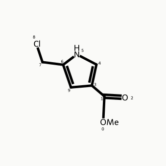 COC(=O)c1c[nH]c(CCl)c1